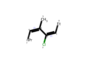 CC/C=C(Cl)\C(C)=C/CCC